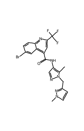 Cc1c(NC(=O)c2cc(C(F)(F)F)nc3ccc(Br)cc23)cnn1Cc1ccn(C)n1